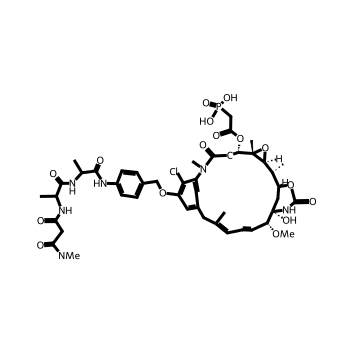 CNC(=O)CC(=O)NC(C)C(=O)NC(C)C(=O)Nc1ccc(COc2cc3cc(c2Cl)N(C)C(=O)C[C@H](OC(=O)CP(=O)(O)O)[C@]2(C)O[C@H]2[C@H](C)[C@@H]2C[C@@](O)(NC(=O)O2)[C@H](OC)/C=C/C=C(\C)C3)cc1